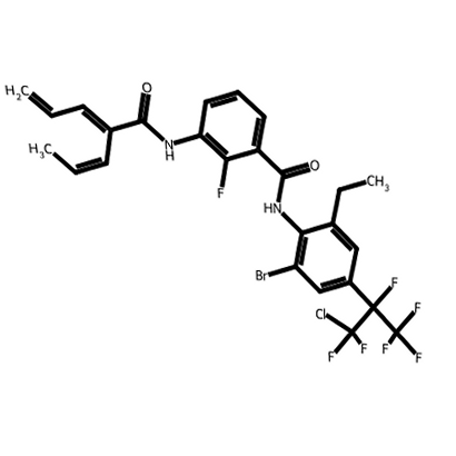 C=C/C=C(\C=C/C)C(=O)Nc1cccc(C(=O)Nc2c(Br)cc(C(F)(C(F)(F)F)C(F)(F)Cl)cc2CC)c1F